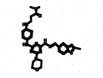 Cc1nc2cc(/C=N/Nc3nc(Nc4ccc(NCCC(=O)N(C)C)cc4)nc(N4CCOCC4)n3)ccc2s1